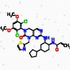 C=CC(=O)N[C@H]1CCC(C2CCCC2)C[C@H]1Nc1ncc2c(n1)N(Cc1nccs1)C(=O)N(c1c(Cl)c(OC)cc(OC)c1Cl)C2